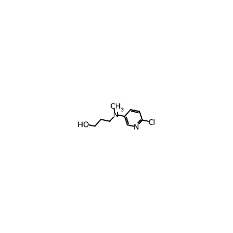 CN(CCCO)c1ccc(Cl)nc1